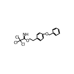 N=C(OCCc1ccc(OCc2ccccc2)cc1)C(Cl)(Cl)Cl